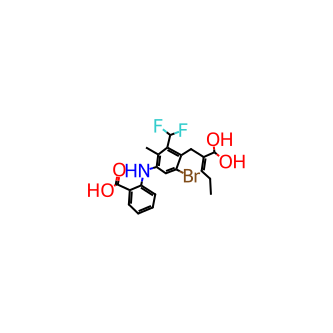 CCC=C(Cc1c(Br)cc(Nc2ccccc2C(=O)O)c(C)c1C(F)F)C(O)O